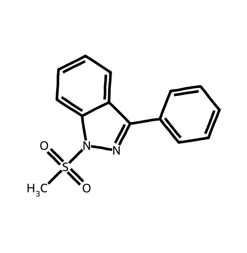 CS(=O)(=O)n1nc(-c2ccccc2)c2ccccc21